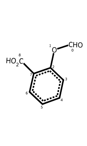 O=COc1ccccc1C(=O)O